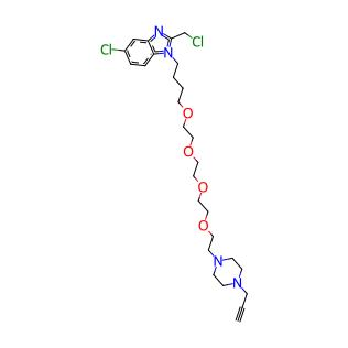 C#CCN1CCN(CCOCCOCCOCCOCCCCn2c(CCl)nc3cc(Cl)ccc32)CC1